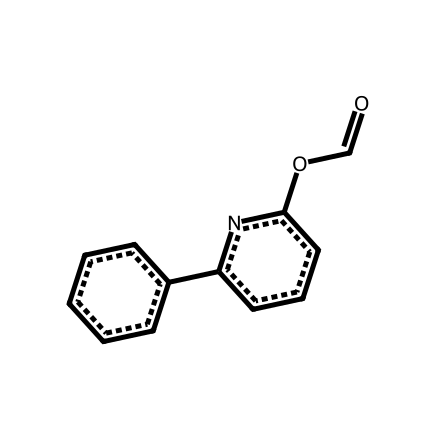 O=COc1cccc(-c2ccccc2)n1